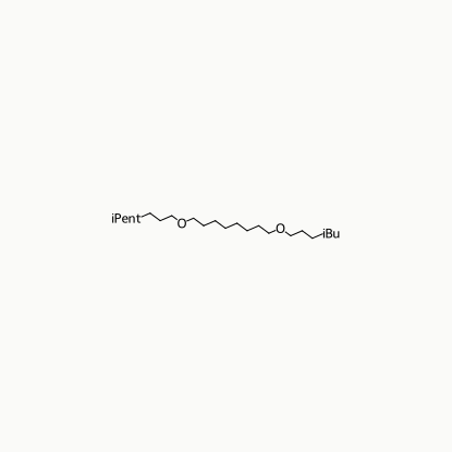 CCCC(C)CCCOCCCCCCCCOCCCC(C)CC